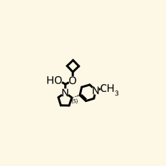 CN1CC=C([C@@H]2CCCN2C(O)OC2CCC2)CC1